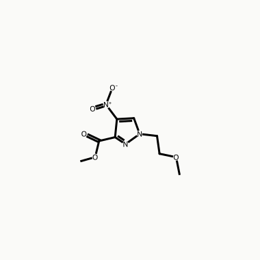 COCCn1cc([N+](=O)[O-])c(C(=O)OC)n1